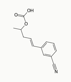 CC(C/C=C/c1cccc(C#N)c1)OC(=O)O